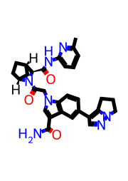 Cc1cccc(NC(=O)[C@@H]2[C@H]3CC[C@H](C3)N2C(=O)Cn2cc(C(N)=O)c3cc(-c4cnn5c4CCC5)ccc32)n1